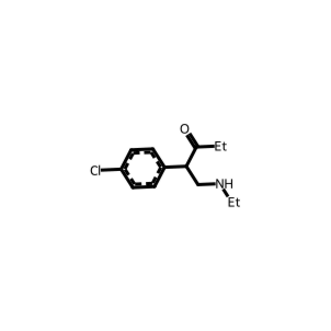 CCNCC(C(=O)CC)c1ccc(Cl)cc1